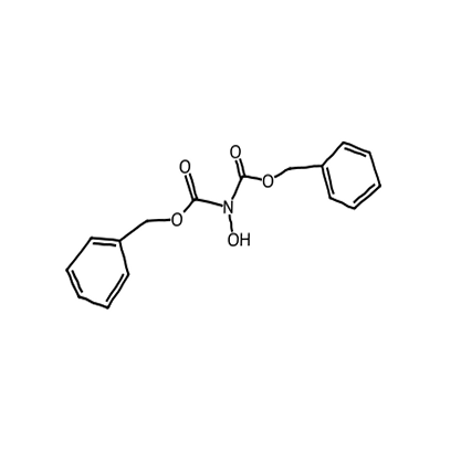 O=C(OCc1ccccc1)N(O)C(=O)OCc1ccccc1